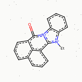 CC[n+]1c2ccccc2n2c(=O)c3cccc4cccc(c43)c21